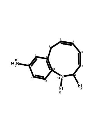 CCC1/C=C\C=C/Cc2cc(N)ccc2N1CC